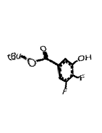 CC(C)(C)OC(=O)c1cc(O)c(F)c(F)c1